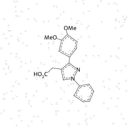 COc1ccc(-c2nn(-c3ccccc3)cc2CC(=O)O)cc1OC